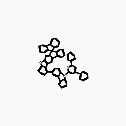 c1ccc(-c2cc(-c3ccccc3)nc(-n3c4ccccc4c4cc(-c5cccc6oc7cc8c(cc7c56)-c5ccccc5C85c6ccccc6-c6ccccc65)ccc43)c2)cc1